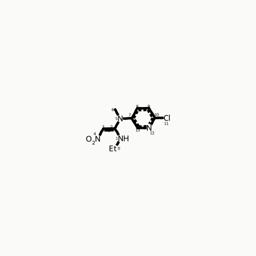 CCNC(=C[N+](=O)[O-])N(C)c1ccc(Cl)nc1